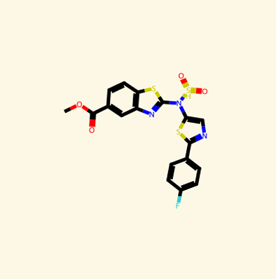 COC(=O)c1ccc2sc(N(c3cnc(-c4ccc(F)cc4)s3)[SH](=O)=O)nc2c1